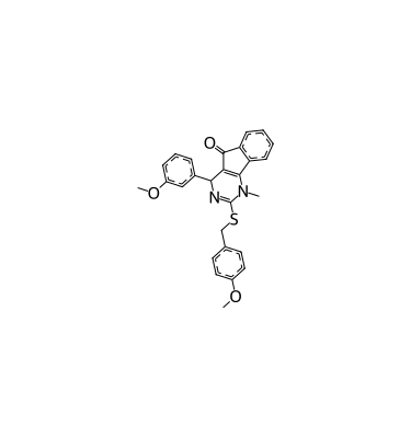 COc1ccc(CSC2=NC(c3cccc(OC)c3)C3=C(c4ccccc4C3=O)N2C)cc1